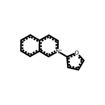 c1coc(-[n+]2ccc3ccccc3c2)c1